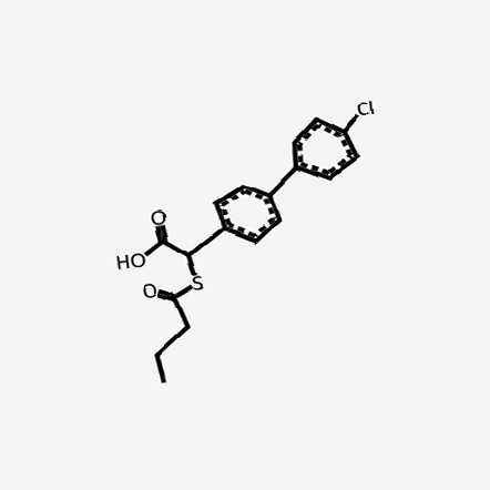 CCCC(=O)SC(C(=O)O)c1ccc(-c2ccc(Cl)cc2)cc1